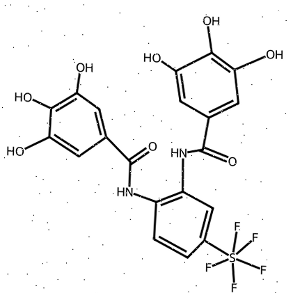 O=C(Nc1ccc(S(F)(F)(F)(F)F)cc1NC(=O)c1cc(O)c(O)c(O)c1)c1cc(O)c(O)c(O)c1